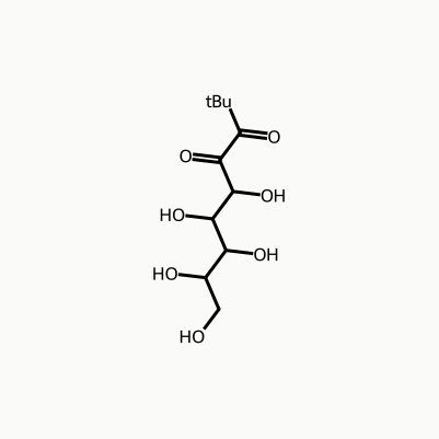 CC(C)(C)C(=O)C(=O)C(O)C(O)C(O)C(O)CO